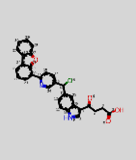 O=C(O)CCC(=O)c1c[nH]c2ccc(C(Cl)c3ccc(-c4cccc5c4oc4ccccc45)nc3)cc12